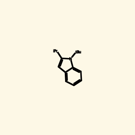 CC(C)c1cc2ccccc2n1C(C)(C)C